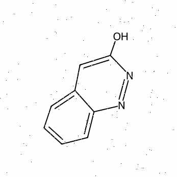 Oc1cc2ccccc2nn1